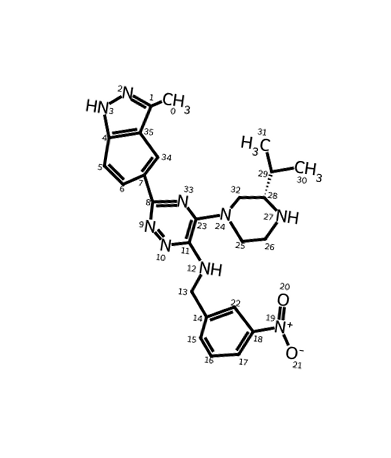 Cc1n[nH]c2ccc(-c3nnc(NCc4cccc([N+](=O)[O-])c4)c(N4CCN[C@@H](C(C)C)C4)n3)cc12